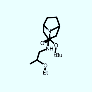 CCOC(C)CNC1CC2CCC(C1)N2C(=O)OC(C)(C)C